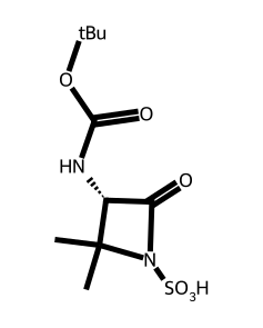 CC(C)(C)OC(=O)N[C@@H]1C(=O)N(S(=O)(=O)O)C1(C)C